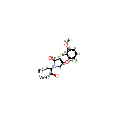 COC(=O)C(CC(C)C)N1CC(Oc2c(F)ccc(OC(C)C)c2F)=CC1=O